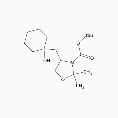 CC(C)(C)OC(=O)N1C(CC2(O)CCCCC2)COC1(C)C